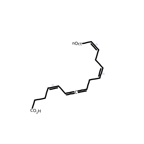 CCCCCCCC/C=C\C/C=C\CC=C=C/C=C\CCC(=O)O